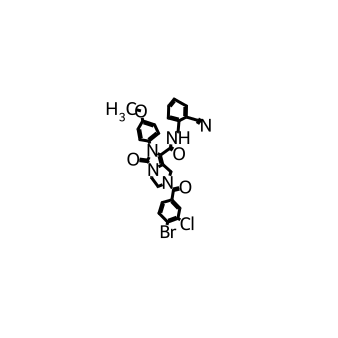 COc1ccc(-n2c(C(=O)NCc3ccccc3C#N)c3n(c2=O)CCN(C(=O)c2ccc(Br)c(Cl)c2)C3)cc1